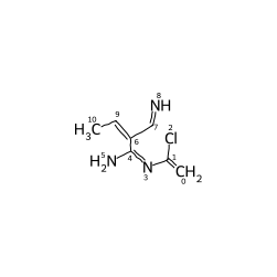 C=C(Cl)/N=C(N)\C(C=N)=C/C